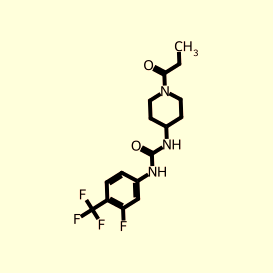 CCC(=O)N1CCC(NC(=O)Nc2ccc(C(F)(F)F)c(F)c2)CC1